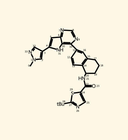 Cn1cc(-c2cc3ncnc(-c4ccc5c(c4)CCCC5NC(=O)c4cnc(C(C)(C)C)s4)c3[nH]2)cn1